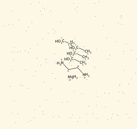 CC(=O)O.CC(=O)O.CC(=O)O.CC(=O)O.NCCN.[MgH2]